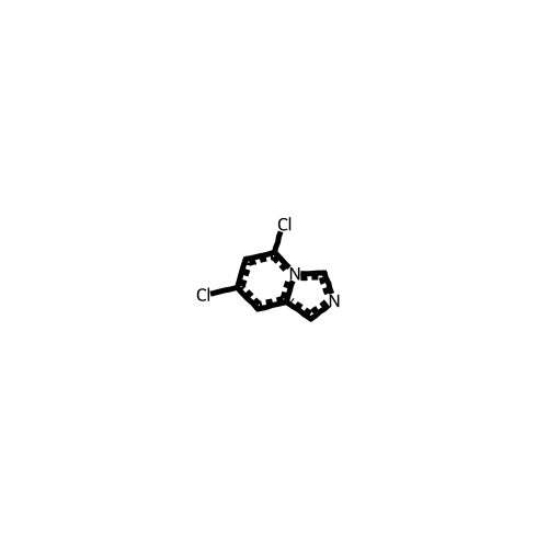 Clc1cc(Cl)n2cncc2c1